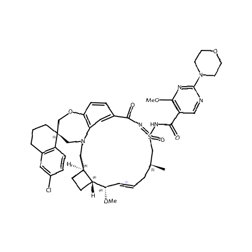 COc1nc(N2CCOCC2)ncc1C(=O)NS1(=O)=NC(=O)c2ccc3c(c2)N(C[C@@H]2CC[C@H]2[C@@H](OC)/C=C/C[C@H](C)C1)C[C@@]1(CCCc2cc(Cl)ccc21)CO3